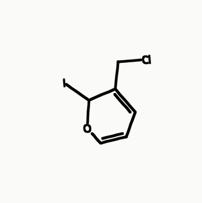 ClCC1=CC=COC1I